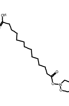 O=C(O)CCCCCCCCCCCCC(=O)[O][Al]1[CH2]CCC[O]1